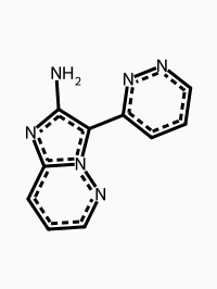 Nc1nc2cccnn2c1-c1cccnn1